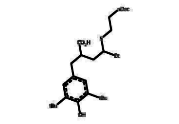 CCCCCCCCCCCCSC(CC)CC(Cc1cc(C(C)(C)C)c(O)c(C(C)(C)C)c1)C(=O)O